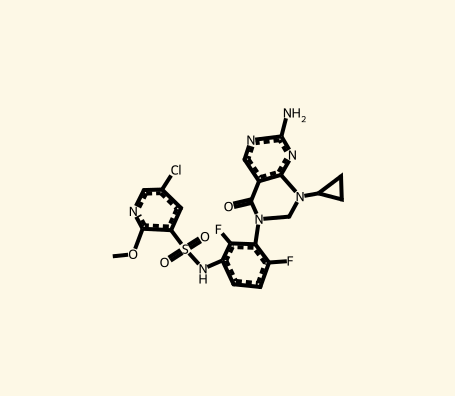 COc1ncc(Cl)cc1S(=O)(=O)Nc1ccc(F)c(N2CN(C3CC3)c3nc(N)ncc3C2=O)c1F